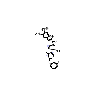 C=C(/C=C(C)\C(=C/C)N(CN)/N=C\C(C)C(=O)c1cc2cc(NC)c(NS)cc2[nH]1)OC1C=CC=CC(F)=C1